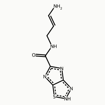 NC=CCNC(=O)c1nc2n[nH]sc-2n1